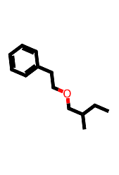 CCC(C)COCCc1ccccc1